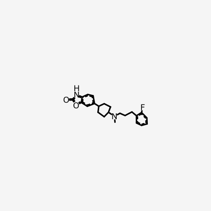 CN(CCCc1ccccc1F)C1CCC(c2ccc3[nH]c(=O)oc3c2)CC1